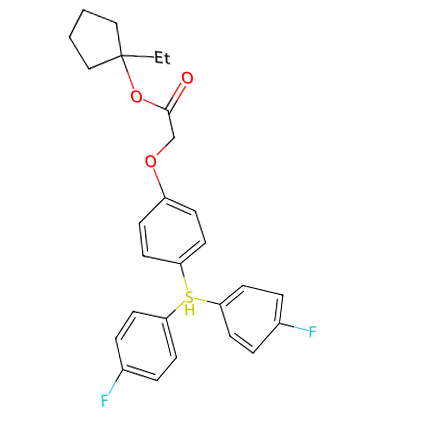 CCC1(OC(=O)COc2ccc([SH](c3ccc(F)cc3)c3ccc(F)cc3)cc2)CCCC1